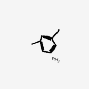 Cc1cccc(C)c1.P